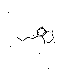 CCCCc1scc2c1OCCO2